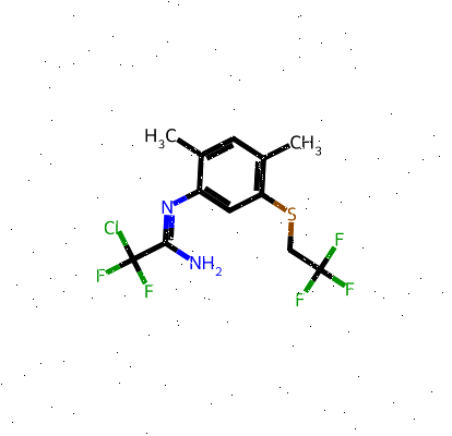 Cc1cc(C)c(SCC(F)(F)F)cc1/N=C(\N)C(F)(F)Cl